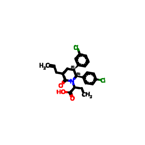 C=CCC1C[C@H](c2cccc(Cl)c2)[C@@H](c2ccc(Cl)cc2)N(C(CC)C(=O)O)C1=O